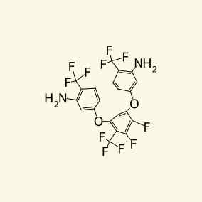 Nc1cc(Oc2cc(Oc3ccc(C(F)(F)F)c(N)c3)c(C(F)(F)F)c(F)c2F)ccc1C(F)(F)F